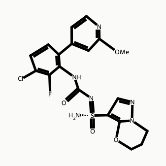 COc1cc(-c2ccc(Cl)c(F)c2NC(=O)N=[S@](N)(=O)c2cnn3c2OCCC3)ccn1